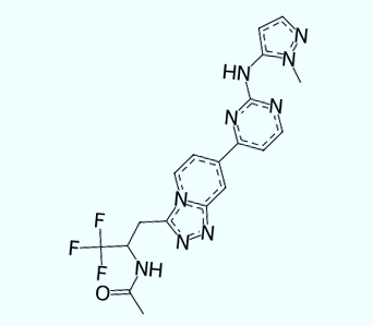 CC(=O)NC(Cc1nnc2cc(-c3ccnc(Nc4ccnn4C)n3)ccn12)C(F)(F)F